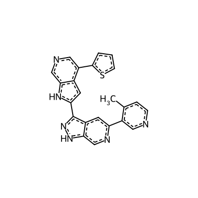 Cc1ccncc1-c1cc2c(-c3cc4c(-c5cccs5)cncc4[nH]3)n[nH]c2cn1